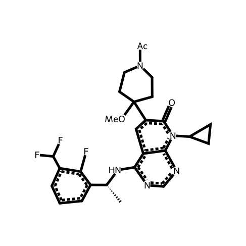 COC1(c2cc3c(N[C@H](C)c4cccc(C(F)F)c4F)ncnc3n(C3CC3)c2=O)CCN(C(C)=O)CC1